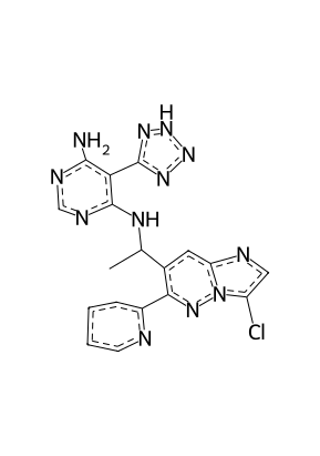 CC(Nc1ncnc(N)c1-c1nn[nH]n1)c1cc2ncc(Cl)n2nc1-c1ccccn1